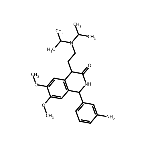 COc1cc2c(cc1OC)C(c1cccc(N)c1)NC(=O)C2CCN(C(C)C)C(C)C